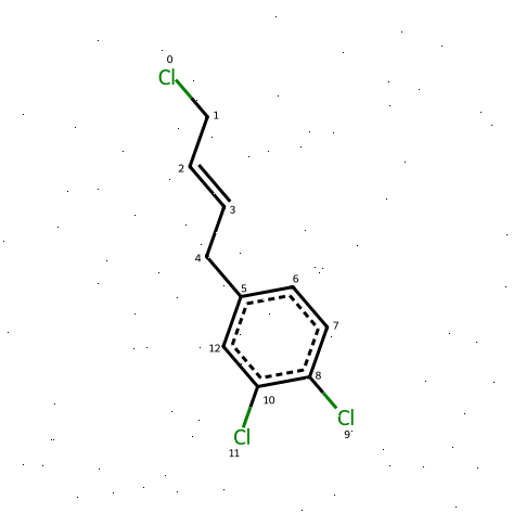 ClCC=CCc1ccc(Cl)c(Cl)c1